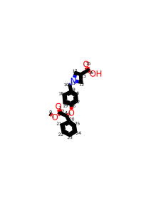 COC(=O)C(Oc1ccc(CN2CC(C(=O)O)C2)cc1)c1ccccc1